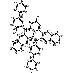 Cc1cc2c3c(c1)N(c1cc(-c4ccccc4)ccc1C)c1cc4ccccc4cc1B3N(c1ccc(-c3ccccc3)cc1)c1cc3ccccc3cc1-2